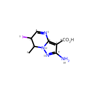 CC1C(I)C=Nc2c(C(=O)O)c(N)nn21